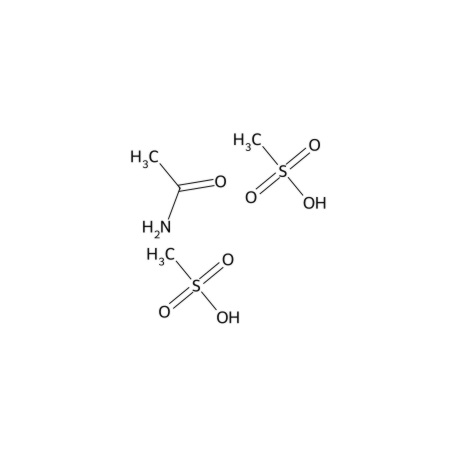 CC(N)=O.CS(=O)(=O)O.CS(=O)(=O)O